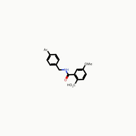 COc1ccc(C(=O)O)c(C(=O)NCc2ccc(C(C)=O)cc2)c1